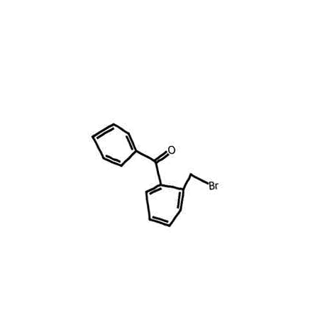 O=C(c1ccccc1)c1ccccc1CBr